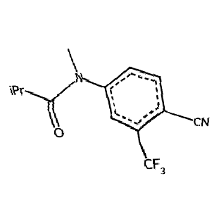 CC(C)C(=O)N(C)c1ccc(C#N)c(C(F)(F)F)c1